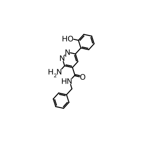 Nc1nnc(-c2ccccc2O)cc1C(=O)NCc1ccccc1